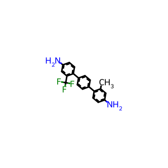 Cc1cc(N)ccc1-c1ccc(-c2ccc(N)cc2C(F)(F)F)cc1